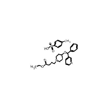 CCOC(=O)CCCN1CCC(OC(c2ccccc2)c2cccnc2)CC1.Cc1ccc(S(=O)(=O)O)cc1